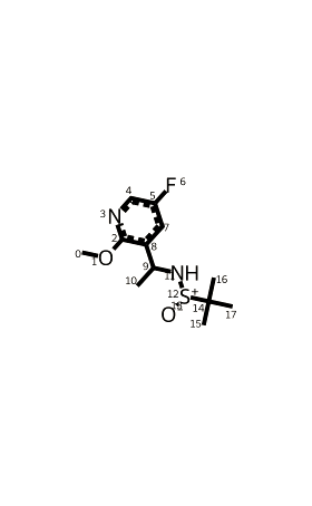 COc1ncc(F)cc1C(C)N[S@+]([O-])C(C)(C)C